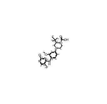 COc1cc(N2CCN(C(=O)O)C(C(C)(C)C)C2)ccc1Nc1nc(Cl)ncc1F